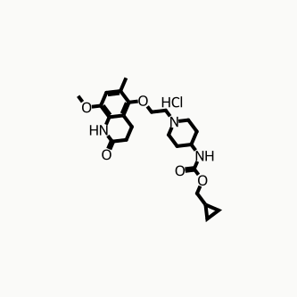 COc1cc(C)c(OCCN2CCC(NC(=O)OCC3CC3)CC2)c2c1NC(=O)CC2.Cl